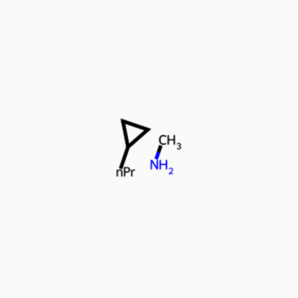 CCCC1CC1.CN